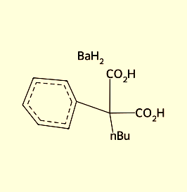 CCCCC(C(=O)O)(C(=O)O)c1ccccc1.[BaH2]